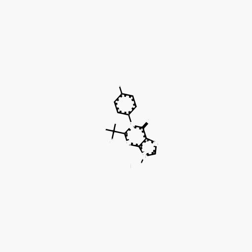 Cn1cnc2c(=O)n(-c3ccc(Cl)cc3)c(C(C)(C)C)nc21